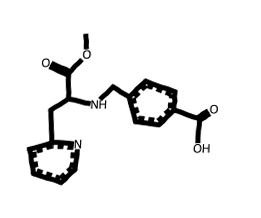 COC(=O)C(Cc1ccccn1)NCc1ccc(C(=O)O)cc1